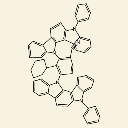 N#Cc1ccc(-n2c3ccccc3c3ccc4c(c5ccccc5n4-c4ccccc4)c32)c(C2CCCCC2)c1-n1c2ccccc2c2ccc3c(c4ccccc4n3-c3ccccc3)c21